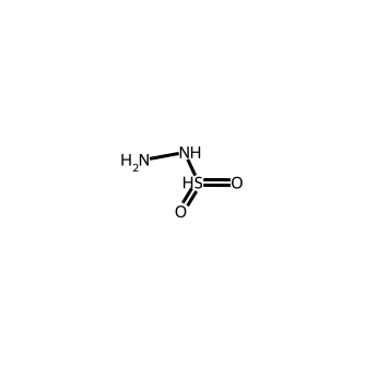 NN[SH](=O)=O